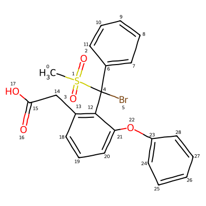 CS(=O)(=O)C(Br)(c1ccccc1)c1c(CC(=O)O)cccc1Oc1ccccc1